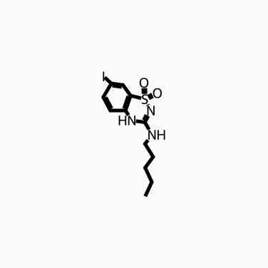 CCCCCNC1=NS(=O)(=O)c2cc(I)ccc2N1